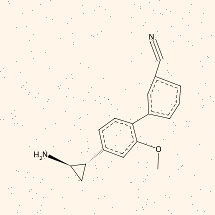 COc1cc([C@@H]2C[C@H]2N)ccc1-c1cccc(C#N)c1